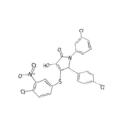 O=C1C(O)=C(Sc2ccc(Cl)c([N+](=O)[O-])c2)C(c2ccc(Cl)cc2)N1c1cccc(Cl)c1